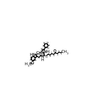 CCCCC(=O)CCCCC[C@H](NC(=O)Cc1c(C)[nH]c2ccc(OC)cc12)c1ncc(-c2ccccc2)[nH]1